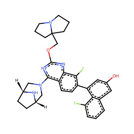 Oc1cc(-c2ccc3c(N4C[C@H]5CC[C@@H](C4)N5)nc(OCC45CCCN4CCC5)nc3c2F)c2c(F)cccc2c1